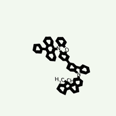 CC1(C)c2ccccc2-c2ccc3ccc(-n4c5ccccc5c5cc(-c6ccc7c(c6)Oc6ccccc6N7c6c7ccccc7c(-c7ccccc7)c7ccccc67)ccc54)cc3c21